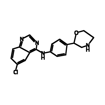 Clc1ccc2ncnc(Nc3ccc(C4CNCCO4)cc3)c2c1